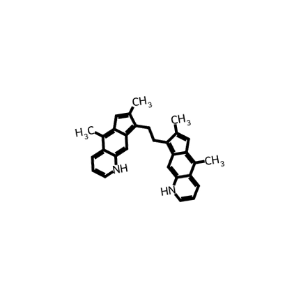 Cc1cc2c(C)c3ccc[nH]c3cc2c1CCc1c(C)cc2c(C)c3ccc[nH]c3cc12